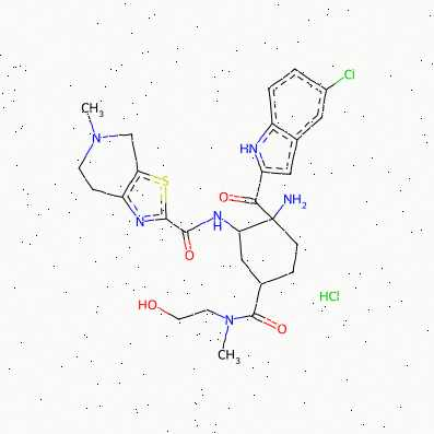 CN1CCc2nc(C(=O)NC3CC(C(=O)N(C)CCO)CCC3(N)C(=O)c3cc4cc(Cl)ccc4[nH]3)sc2C1.Cl